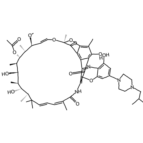 CO[C@H]1/C=C/O[C@@]2(C)Oc3c(C)c(O)c4c(=O)c(c5oc6cc(N7CCN(CC(C)C)CC7)cc(O)c6nc-5c4c3C2=O)NC(=O)/C(C)=C\C=C\C(C)(C)[C@H](C)[C@H](O)[C@@H](C)[C@@H](O)[C@@H](C)[C@H](OC(C)=O)[C@@H]1C